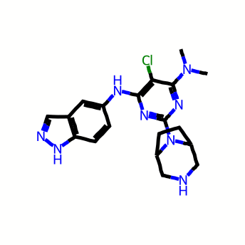 CN(C)c1nc(N2C3CCC2CNC3)nc(Nc2ccc3[nH]ncc3c2)c1Cl